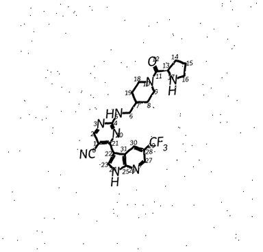 N#Cc1cnc(NCC2CCN(C(=O)[C@H]3CCCN3)CC2)nc1-c1c[nH]c2ncc(C(F)(F)F)cc12